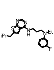 CCN(CCCNc1ncnc2sc(CC(C)C)cc12)c1cccc(F)c1